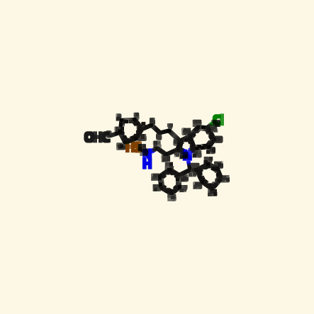 O=Cc1ccc(CCCc2c(CCNS)n(C(c3ccccc3)c3ccccc3)c3ccc(Cl)cc23)cc1